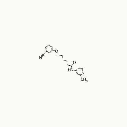 Cc1cc(NC(=O)CCCCCOc2cccc(C#N)c2)ccn1